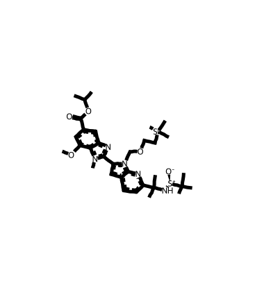 COc1cc(C(=O)OC(C)C)cc2nc(-c3cc4ccc(C(C)(C)N[S@@+]([O-])C(C)(C)C)nc4n3COCC[Si](C)(C)C)n(C)c12